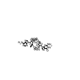 C#CC12COP(=O)(O)O[C@@H]3[C@H](O)[C@@H](COP(=O)(O)O[C@H]1[C@@H](O)[C@H](n1cnc4c(N)ncnc41)O2)O[C@H]3n1cnc2c(=O)[nH]c(N)nc21